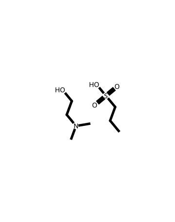 CCCS(=O)(=O)O.CN(C)CCO